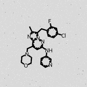 Cc1nc2c(CN3CCOCC3)cc(Nc3cccnc3)nn2c1Cc1ccc(Cl)cc1F